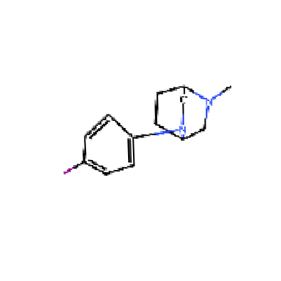 CN1CC2CCC1CN2c1ccc(I)cc1